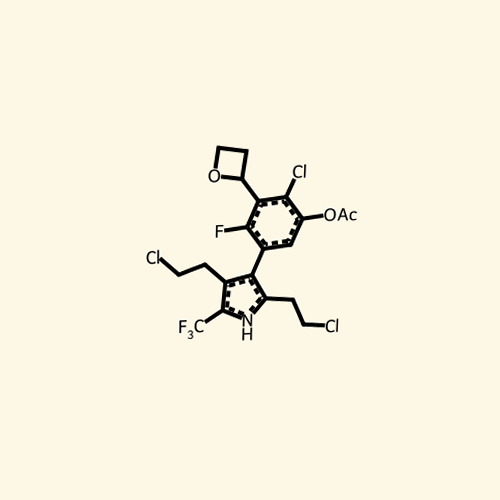 CC(=O)Oc1cc(-c2c(CCCl)[nH]c(C(F)(F)F)c2CCCl)c(F)c(C2CCO2)c1Cl